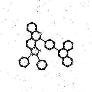 c1ccc(-c2nc3c4c(-c5ccc(-c6cc7ccccc7c7ccccc67)cc5)nc5ccccc5c4ccc3n2-c2ccccc2)cc1